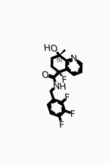 C[C@]1(O)CC[C@@](F)(C(=O)NCc2ccc(F)c(F)c2F)c2cccnc21